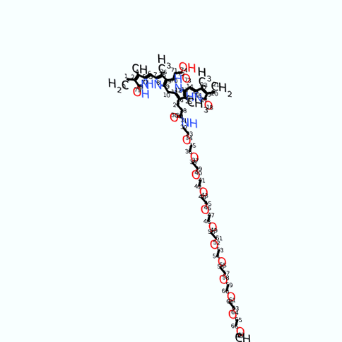 C=CC1=C(C)/C(=C/c2[nH]c(Cc3[nH]c(/C=C4\NC(=O)C(C=C)=C4C)c(C)c3CCC(=O)NCCOCCOCCOCCOCCOCCOCCOCCOCCOCCOCCOCCOC)c(CCC(=O)O)c2C)NC1=O